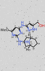 COc1cc(Nc2cc(CO)[nH]n2)nc(N[C@@H]2C[C@H]3CCC[C@@H](C2)N3)n1